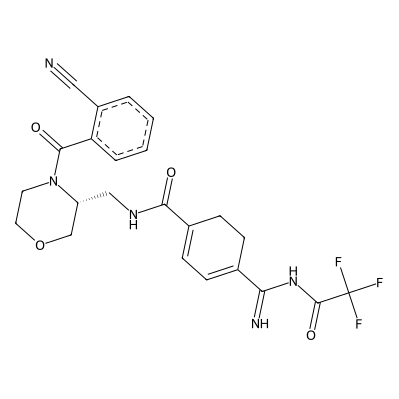 N#Cc1ccccc1C(=O)N1CCOC[C@H]1CNC(=O)C1=CC=C(C(=N)NC(=O)C(F)(F)F)CC1